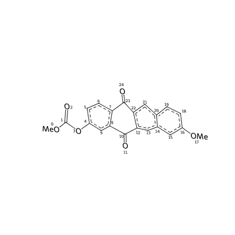 COC(=O)Oc1ccc2c(c1)C(=O)c1cc3cc(OC)ccc3cc1C2=O